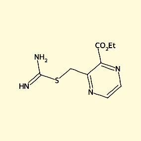 CCOC(=O)c1nccnc1CSC(=N)N